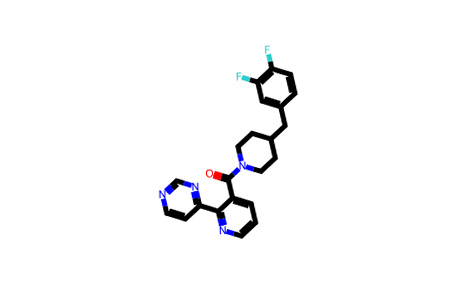 O=C(c1cccnc1-c1ccncn1)N1CCC(Cc2ccc(F)c(F)c2)CC1